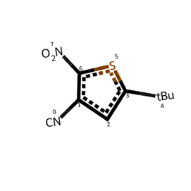 [C-]#[N+]c1cc(C(C)(C)C)sc1[N+](=O)[O-]